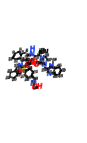 CC[C@H](C)[C@@H](C(=O)N[C@@H](Cc1ccccc1)[C@@H](O)CN(CC1CCCC1)S(=O)(=O)c1ccc(/C=N/O)cc1)N1CCN(Cc2nc3ccccc3n2C)C1=O